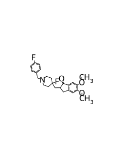 COc1cc2c(cc1OC)C(=O)C(CC1(F)CCN(Cc3ccc(F)cc3)CC1)C2